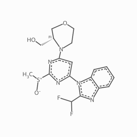 C[S+]([O-])c1nc(N2CCOC[C@H]2CO)cc(-n2c(C(F)F)nc3ccccc32)n1